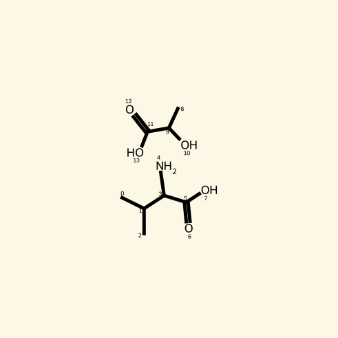 CC(C)C(N)C(=O)O.CC(O)C(=O)O